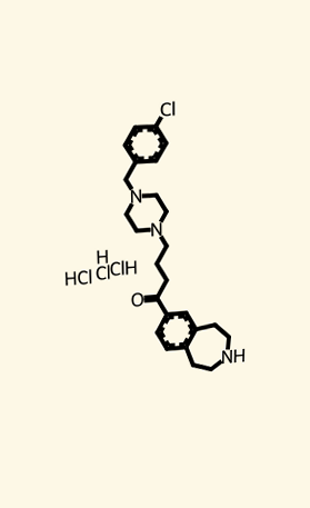 Cl.Cl.Cl.O=C(CCCN1CCN(Cc2ccc(Cl)cc2)CC1)c1ccc2c(c1)CCNCC2